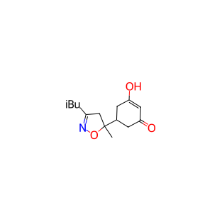 CCC(C)C1=NOC(C)(C2CC(=O)C=C(O)C2)C1